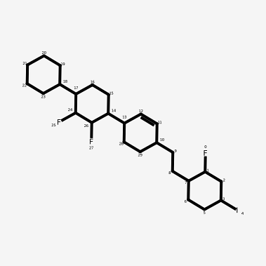 FC1CC(I)CCC1CCC1C=CC(C2CCC(C3CCCCC3)C(F)C2F)CC1